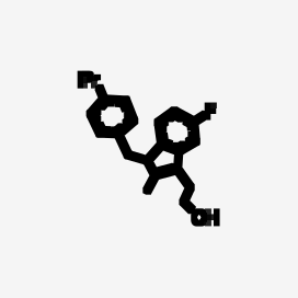 CC1=C(CCO)c2cc(F)ccc2C1Cc1ccc(C(C)C)cc1